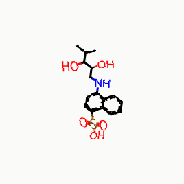 CC(C)C(O)C(O)CNc1ccc(S(=O)(=O)O)c2ccccc12